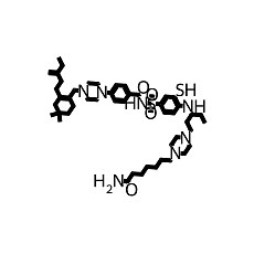 C=C(CC)CCC1=C(CN2CCN(c3ccc(C(=O)NS(=O)(=O)c4ccc(NC(CC)CCN5CCN(CCCCCCC(N)=O)CC5)c(S)c4)cc3)CC2)CCC(C)(C)C1